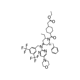 CCOC(=O)CC1CCC(C(=O)N2C(CC)C[C@@H](N(Cc3cc(C(F)(F)F)cc(C(F)(F)F)c3)c3ncc(N4CCOCC4)cn3)C[C@H]2Cc2ccccc2)CC1